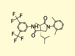 Cc1cccc(C)c1N1C[C@@](CC(C)C)(C(=O)Nc2cc(C(F)(F)F)cc(C(F)(F)F)c2)C(C)C1=O